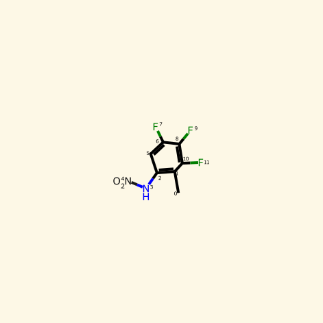 Cc1c(N[N+](=O)[O-])cc(F)c(F)c1F